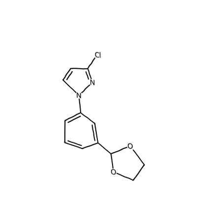 Clc1ccn(-c2cccc(C3OCCO3)c2)n1